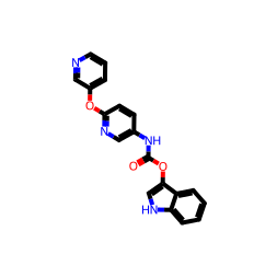 O=C(Nc1ccc(Oc2cccnc2)nc1)Oc1c[nH]c2ccccc12